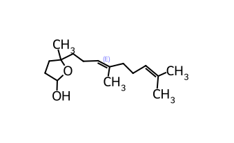 CC(C)=CCC/C(C)=C/CCC1(C)CCC(O)O1